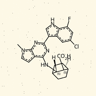 Cn1ccc2c(N[C@H]3C4CCC(CC4)[C@@H]3C(=O)O)nc(-c3c[nH]c4c(F)cc(Cl)cc34)nc21